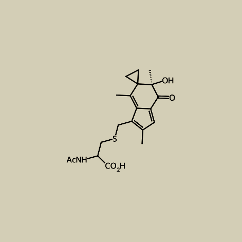 CC(=O)NC(CSCC1=C(C)C=C2C(=O)[C@](C)(O)C3(CC3)C(C)=C21)C(=O)O